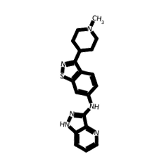 CN1CCC(c2nsc3cc(Nc4n[nH]c5cccnc45)ccc23)CC1